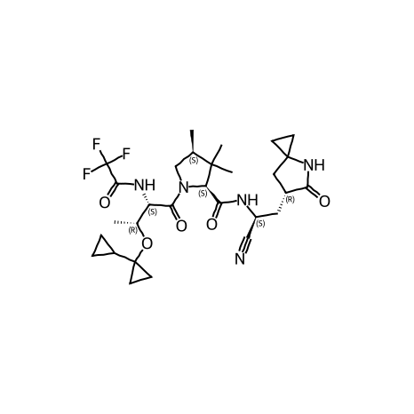 C[C@@H]1CN(C(=O)[C@@H](NC(=O)C(F)(F)F)[C@@H](C)OC2(C3CC3)CC2)[C@H](C(=O)N[C@H](C#N)C[C@@H]2CC3(CC3)NC2=O)C1(C)C